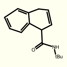 CC(C)(C)NC(=O)C1C=CCc2ccccc21